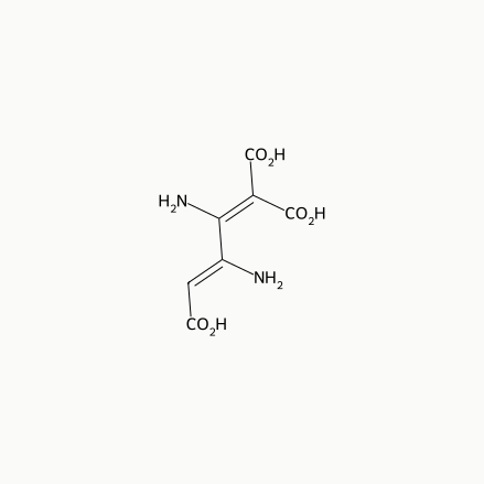 NC(=CC(=O)O)C(N)=C(C(=O)O)C(=O)O